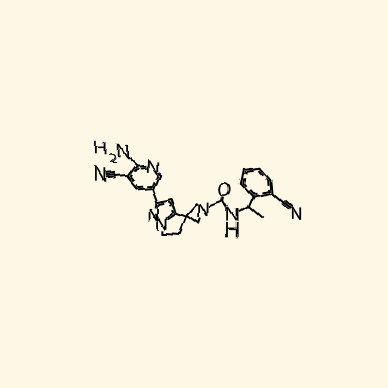 CC(NC(=O)N1CC2(CCn3nc(-c4cnc(N)c(C#N)c4)cc32)C1)c1ccccc1C#N